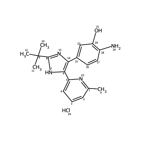 Cc1cccc(-c2[nH]c(C(C)(C)C)nc2-c2ccc(N)c(O)c2)n1.Cl